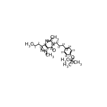 CCCc1nn(C)c2c(=O)n(CCCc3ccc(OC(C)(C)C)cc3)c(C)nc12